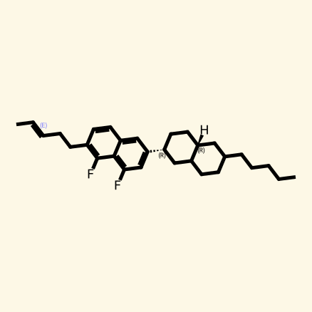 C/C=C/CCc1ccc2cc([C@@H]3CC[C@@H]4CC(CCCCC)CCC4C3)cc(F)c2c1F